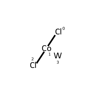 [Cl][Co][Cl].[W]